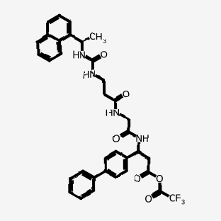 C[C@@H](NC(=O)NCCC(=O)NCC(=O)NC(CC(=O)OC(=O)C(F)(F)F)c1ccc(-c2ccccc2)cc1)c1cccc2ccccc12